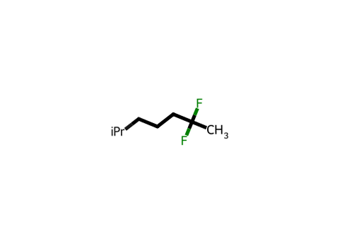 CC(C)CCCC(C)(F)F